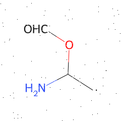 [CH2]C(N)OC=O